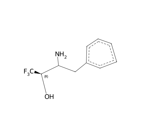 NC(Cc1ccccc1)[C@@H](O)C(F)(F)F